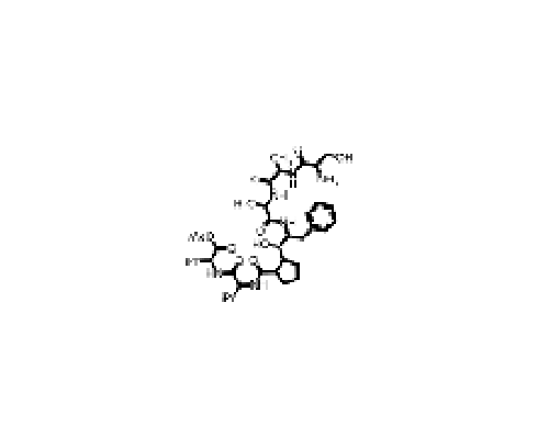 COC(=O)C(NC(=O)C(NC(=O)C1CCCC1C(O)C(Cc1ccccc1)NC(=O)C(C)NC(=O)C(C)NC(=O)C(N)CO)C(C)C)C(C)C